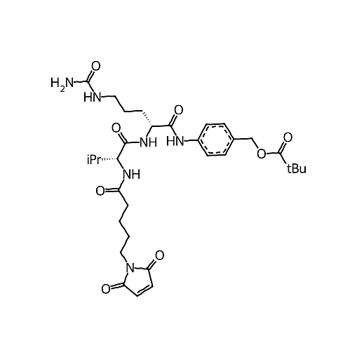 CC(C)[C@@H](NC(=O)CCCCN1C(=O)C=CC1=O)C(=O)N[C@H](CCCNC(N)=O)C(=O)Nc1ccc(COC(=O)C(C)(C)C)cc1